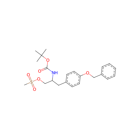 CC(C)(C)OC(=O)NC(COS(C)(=O)=O)Cc1ccc(OCc2ccccc2)cc1